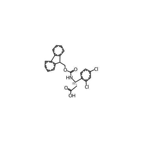 O=C(O)C[C@H](NC(=O)OCC1c2ccccc2-c2ccccc21)c1ccc(Cl)cc1Cl